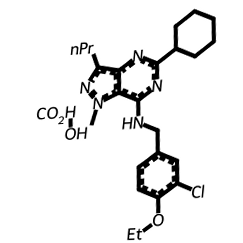 CCCc1nn(C)c2c(NCc3ccc(OCC)c(Cl)c3)nc(C3CCCCC3)nc12.O=C(O)O